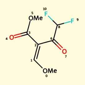 COC=C(C(=O)OC)C(=O)C(F)F